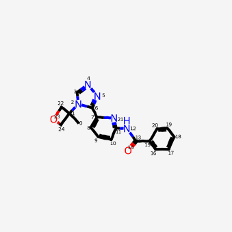 CC1(n2cnnc2-c2cccc(NC(=O)c3ccccc3)n2)COC1